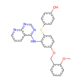 COc1ccccc1COc1ccc(Sc2ccc(O)cc2)c(Nc2ncnc3ncccc23)c1